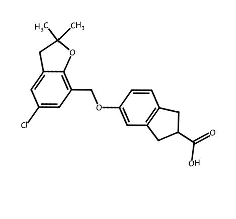 CC1(C)Cc2cc(Cl)cc(COc3ccc4c(c3)CC(C(=O)O)C4)c2O1